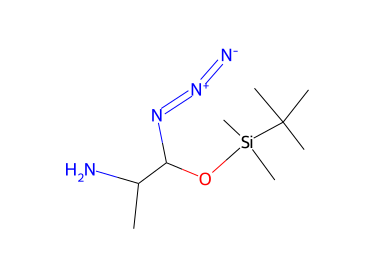 CC(N)C(N=[N+]=[N-])O[Si](C)(C)C(C)(C)C